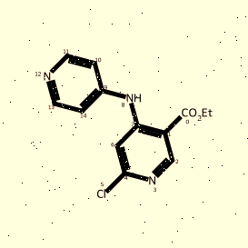 CCOC(=O)c1cnc(Cl)cc1Nc1ccncc1